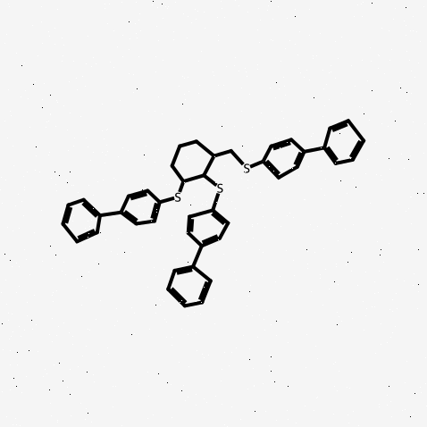 c1ccc(-c2ccc(SCC3CCCC(Sc4ccc(-c5ccccc5)cc4)C3Sc3ccc(-c4ccccc4)cc3)cc2)cc1